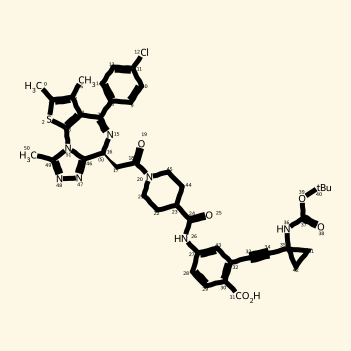 Cc1sc2c(c1C)C(c1ccc(Cl)cc1)=N[C@@H](CC(=O)N1CCC(C(=O)Nc3ccc(C(=O)O)c(C#CC4(NC(=O)OC(C)(C)C)CC4)c3)CC1)c1nnc(C)n1-2